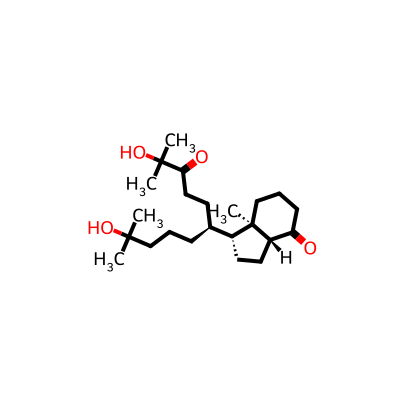 CC(C)(O)CCC[C@@H](CCC(=O)C(C)(C)O)[C@H]1CC[C@H]2C(=O)CCC[C@]12C